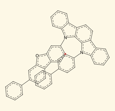 c1ccc(-c2ccc(-n3c4ccccc4c4ccc5c6ccccc6n(-c6ccc7c(c6)oc6cc(-c8ccccc8)ccc67)c5c43)cc2)cc1